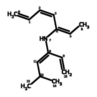 C=C/C=C\C(=C/C)N/C(C=C)=C/C(C)C